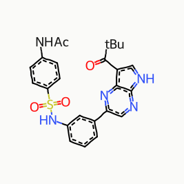 CC(=O)Nc1ccc(S(=O)(=O)Nc2cccc(-c3cnc4[nH]cc(C(=O)C(C)(C)C)c4n3)c2)cc1